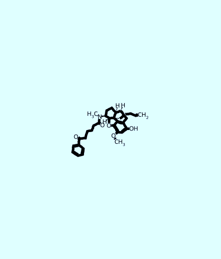 C=CCN1CC[C@]23c4c5c(O)cc(OC)c4O[C@H]2[C@@H](N(C)C(=O)CCCCC(=O)c2ccccc2)CC[C@H]3[C@H]1C5